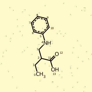 CCC(CNc1ccccc1)C(=O)O